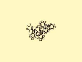 Clc1c(N(c2ccccc2)c2ccccc2)cccc1N(c1ccccc1)c1ccc2c3ccccc3n3c4ccccc4c1c23